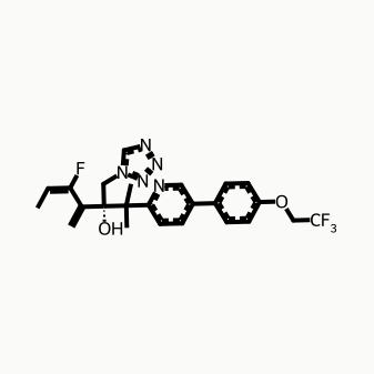 C=C(/C(F)=C\C)[C@@](O)(Cn1cnnn1)C(C)(C)c1ccc(-c2ccc(OCC(F)(F)F)cc2)cn1